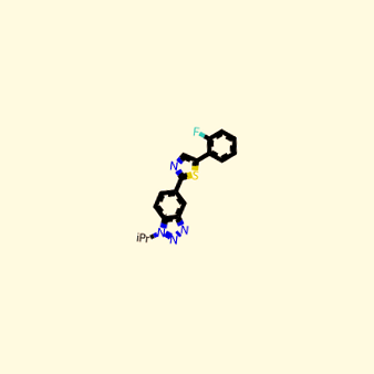 CC(C)n1nnc2cc(-c3ncc(-c4ccccc4F)s3)ccc21